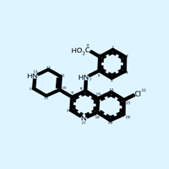 O=C(O)c1ccccc1Nc1c(C2=CCNCC2)cnc2ccc(Cl)cc12